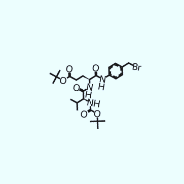 CC(C)[C@H](NC(=O)OC(C)(C)C)C(=O)N[C@@H](CCC(=O)OC(C)(C)C)C(=O)Nc1ccc(CBr)cc1